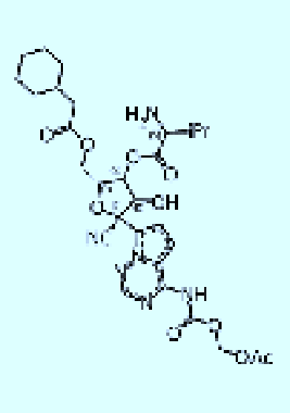 CC(=O)OCOC(=O)Nc1ncnn2c([C@]3(C#N)O[C@H](COC(=O)CC4CCCCC4)[C@@H](OC(=O)[C@@H](N)C(C)C)[C@H]3O)ccc12